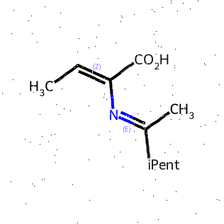 C/C=C(\N=C(/C)C(C)CCC)C(=O)O